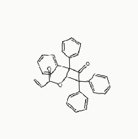 C=CC(=O)OC1C(c2ccccc2)(c2ccccc2)C(=O)C1(c1ccccc1)c1ccccc1